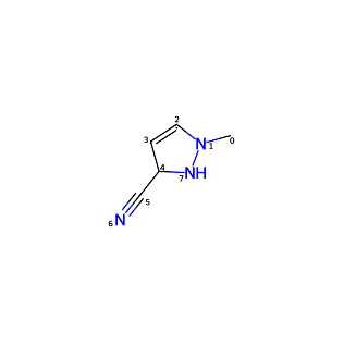 CN1[C]=CC(C#N)N1